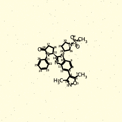 Cc1noc(C)c1-c1ccc2c(c1)nc([C@@H]1CCC(=O)N1c1ccccc1)n2[C@@H]1CCN(S(C)(=O)=O)C1